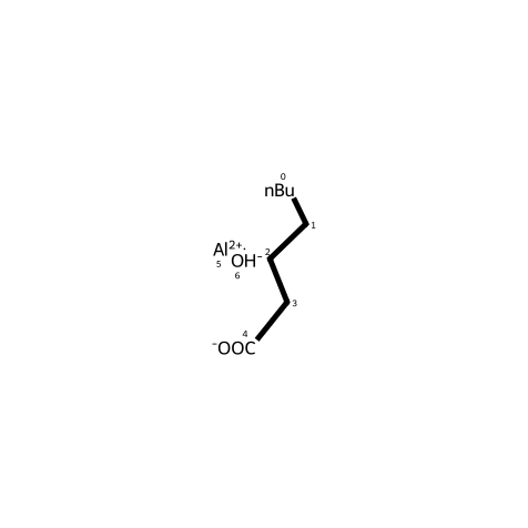 CCCCCCCC(=O)[O-].[Al+2].[OH-]